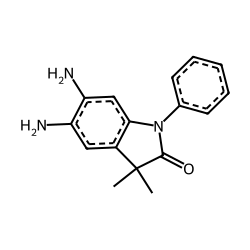 CC1(C)C(=O)N(c2ccccc2)c2cc(N)c(N)cc21